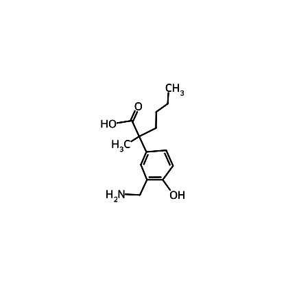 CCCCC(C)(C(=O)O)c1ccc(O)c(CN)c1